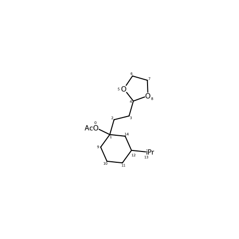 CC(=O)OC1(CCC2OCCO2)CCCC(C(C)C)C1